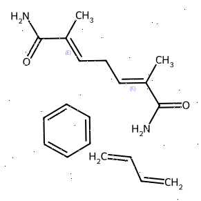 C/C(=C\C/C=C(\C)C(N)=O)C(N)=O.C=CC=C.c1ccccc1